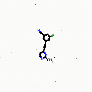 Cc1nccc(C#Cc2cc(F)cc(C#N)c2)n1